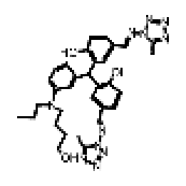 CCCN(CCCCO)c1cccc(C(c2cc(C=Nn3nnnc3C)ccc2O)c2cc(C=Nn3nnnc3C)ccc2O)c1